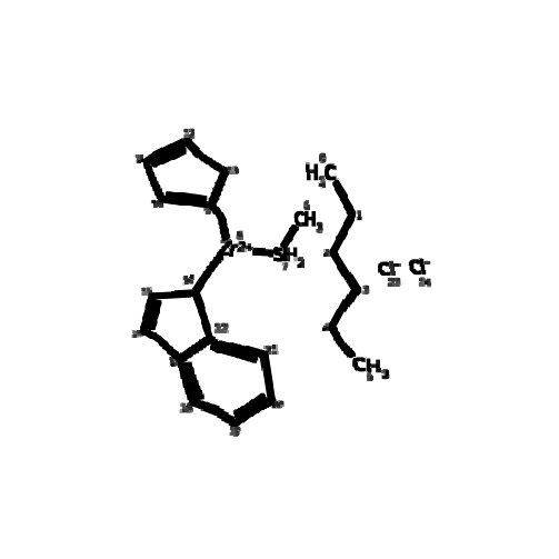 CCCCCC.C[SiH2][Zr+2]([C]1=CC=CC1)[CH]1C=Cc2ccccc21.[Cl-].[Cl-]